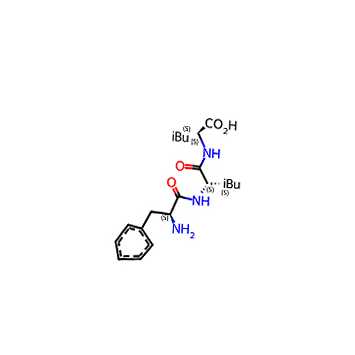 CC[C@H](C)[C@H](NC(=O)[C@@H](NC(=O)[C@@H](N)Cc1ccccc1)[C@@H](C)CC)C(=O)O